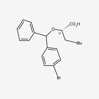 CCC(C)C[C@H](OC(c1ccccc1)c1ccc(Br)cc1)C(=O)O